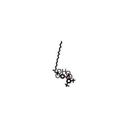 CCCCCCCCCCCCCCCCC(C)CC(O)Oc1ccc(C2C(=O)Oc3c2cc(C(C)(C)C)cc3C(C)(C)C)cc1